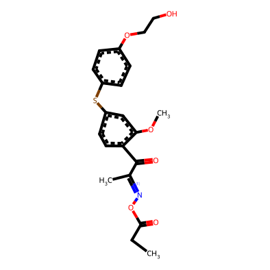 CCC(=O)O/N=C(\C)C(=O)c1ccc(Sc2ccc(OCCO)cc2)cc1OC